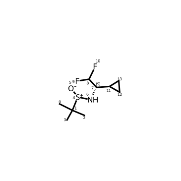 CC(C)(C)[S+]([O-])N[C@H](C(F)F)C1CC1